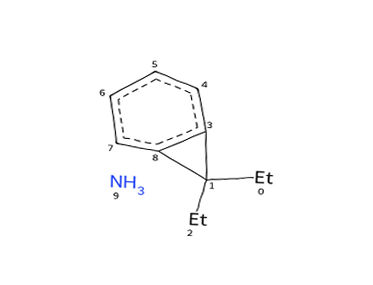 CCC1(CC)c2ccccc21.N